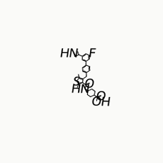 Cc1sc(C)c(C(=O)NC2CCC(C(=O)O)CC2)c1Cc1ccc(-c2cc(F)cc(C3CNC3)c2)cc1